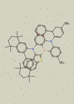 Cc1cc2c3c(c1)N(c1cc4c(cc1-c1ccccc1)C(C)(C)CCC4(C)C)c1c(sc4cc5c(cc14)C(C)(C)CCC5(C)C)B3c1cc(C(C)(C)C)ccc1N2C1=CC=C(C(C)(C)C)CC1c1ccccc1